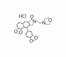 Cl.O=C1c2cc3ccc4c(c3c(-c3ccc5c(c3)OCO5)c2CN1CCN1CCOCC1)OCO4